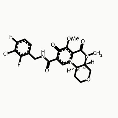 COc1c2n(cc(C(=O)NCc3ccc(F)c(Cl)c3F)c1=O)[C@@H]1CCOC[C@H]1N(C)C2=O